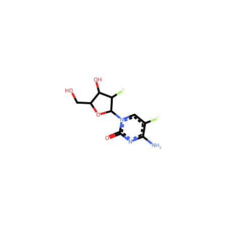 Nc1nc(=O)n(C2OC(CO)C(O)C2F)cc1F